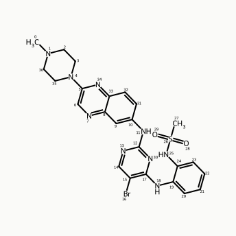 CN1CCN(c2cnc3cc(Nc4ncc(Br)c(Nc5ccccc5NS(C)(=O)=O)n4)ccc3n2)CC1